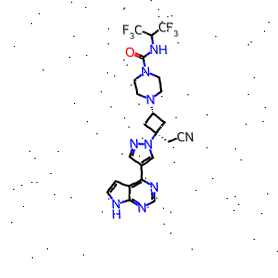 N#CC[C@]1(n2cc(-c3ncnc4[nH]ccc34)cn2)C[C@H](N2CCN(C(=O)NC(C(F)(F)F)C(F)(F)F)CC2)C1